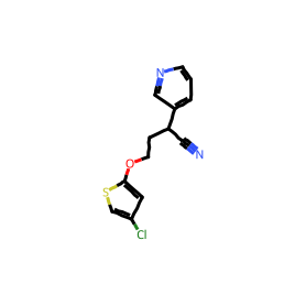 N#CC(CCOc1cc(Cl)cs1)c1cccnc1